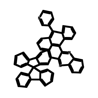 c1cncc(-c2c3ccccc3c(-c3nc4ccccc4nc3-c3ccc4c(c3)C3(c5ccccc5-c5ccccc53)c3ccccc3-4)c3ccccc23)c1